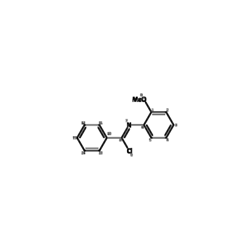 COc1ccccc1N=C(Cl)c1ccccc1